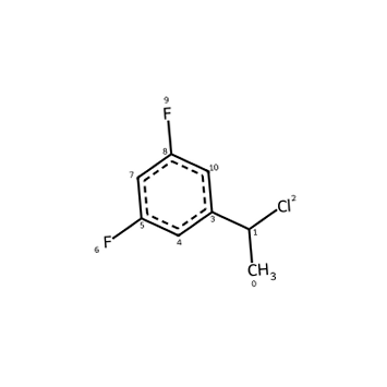 CC(Cl)c1cc(F)cc(F)c1